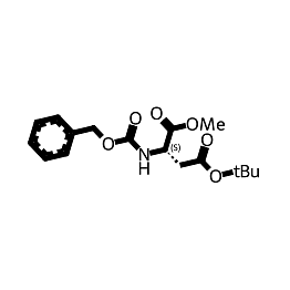 COC(=O)[C@H](CC(=O)OC(C)(C)C)NC(=O)OCc1ccccc1